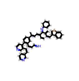 C=CC(=C\C=C(/C)c1ccc(-c2ccncc2/C=C\c2cccnc2)c(/C=C\C=N)c1)/C(=N/C1C=CC=CC1)C(=C)/C=C\c1csc2ccccc12